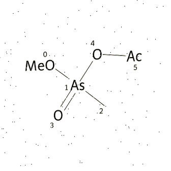 CO[As](C)(=O)OC(C)=O